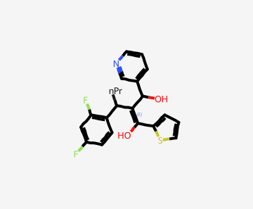 CCCC(/C(=C(\O)c1cccs1)C(O)c1cccnc1)c1ccc(F)cc1F